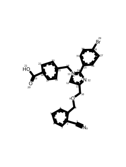 N#Cc1ccccc1COCc1cn(Cc2ccc(C(=O)O)cc2)c(-c2ccc(Br)cc2)n1